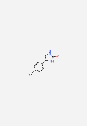 O=C1NCC(c2ccc(C(F)(F)F)cc2)N1